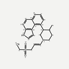 CC1CCN(C=CCS(=O)(=O)CC#N)CC1c1ccnc2cnc3[nH]ccc3c12